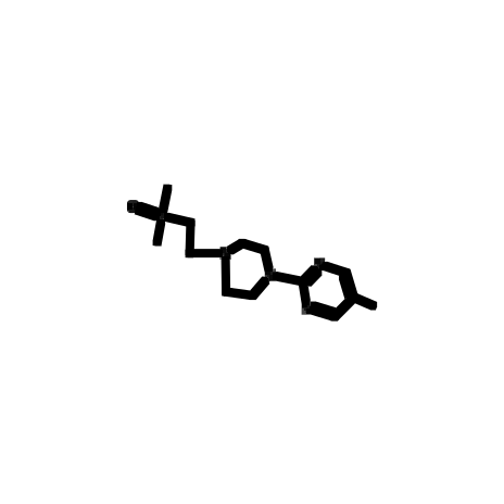 Cc1cnc(N2CCN(CCP(C)(C)=O)CC2)nc1